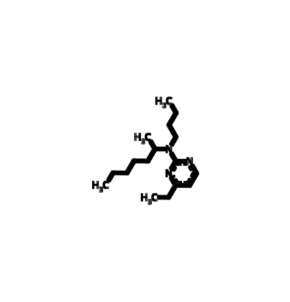 CCCCCC(C)N(CCCC)c1nccc(CC)n1